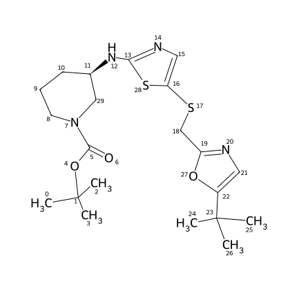 CC(C)(C)OC(=O)N1CCC[C@@H](Nc2ncc(SCc3ncc(C(C)(C)C)o3)s2)C1